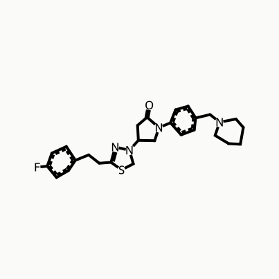 O=C1CC(N2CSC(CCc3ccc(F)cc3)=N2)CN1c1ccc(CN2CCCCC2)cc1